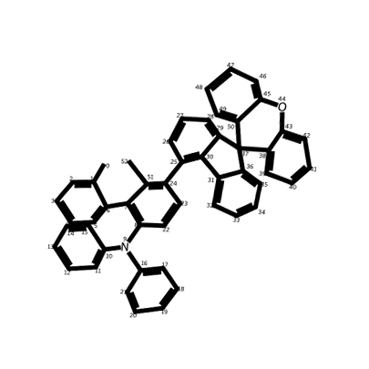 Cc1ccccc1-c1c(N(c2ccccc2)c2ccccc2)ccc(-c2cccc3c2-c2ccccc2C32c3ccccc3Oc3ccccc32)c1C